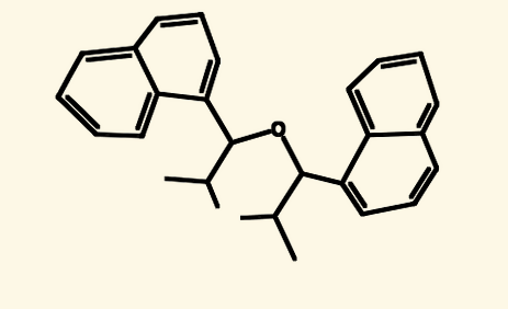 CC(C)C(OC(c1cccc2ccccc12)C(C)C)c1cccc2ccccc12